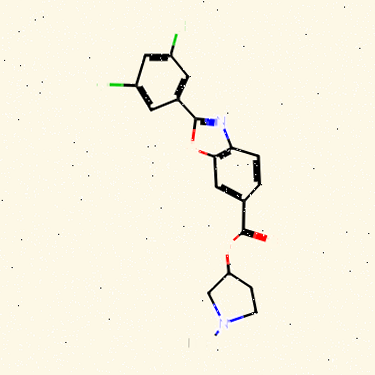 CN1CCC(OC(=O)c2ccc3nc(-c4cc(Cl)cc(Cl)c4)oc3c2)C1